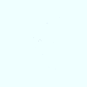 C=C(C)C#CC(C)(C)N(COC)S(=O)(=O)c1ccc(C)cc1